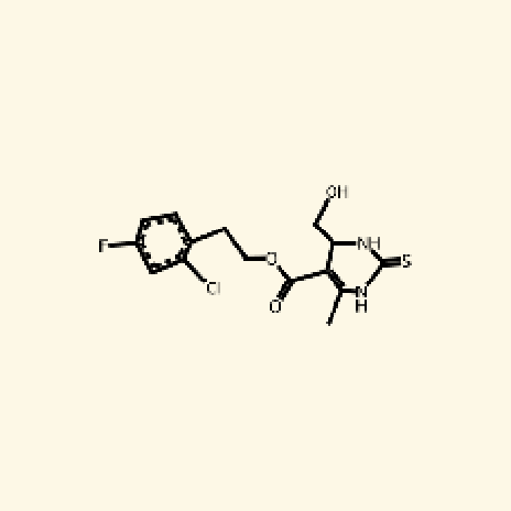 CC1=C(C(=O)OCCc2ccc(F)cc2Cl)C(CO)NC(=S)N1